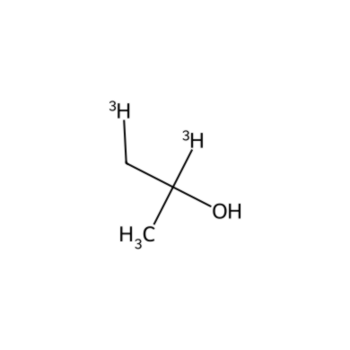 [3H]CC([3H])(C)O